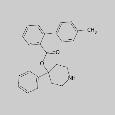 Cc1ccc(-c2ccccc2C(=O)OC2(c3ccccc3)CCNCC2)cc1